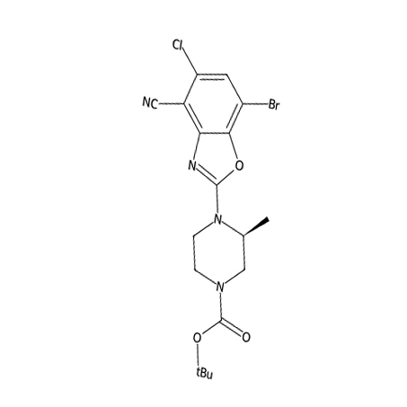 C[C@H]1CN(C(=O)OC(C)(C)C)CCN1c1nc2c(C#N)c(Cl)cc(Br)c2o1